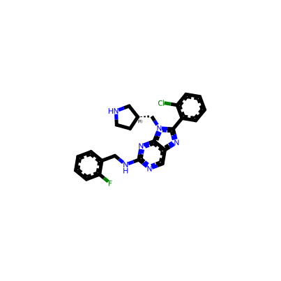 Fc1ccccc1CNc1ncc2nc(-c3ccccc3Cl)n(C[C@@H]3CCNC3)c2n1